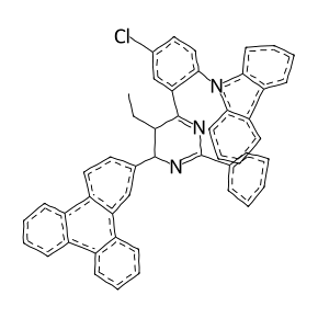 CCC1C(c2cc(Cl)ccc2-n2c3ccccc3c3ccccc32)=NC(c2ccccc2)=NC1c1ccc2c3ccccc3c3ccccc3c2c1